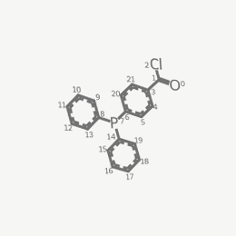 O=C(Cl)c1ccc(P(c2ccccc2)c2ccccc2)cc1